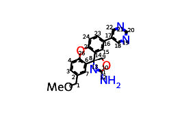 COCc1ccc2c(c1)[C@]1(COC(N)=N1)c1cc(-c3cncnc3)ccc1O2